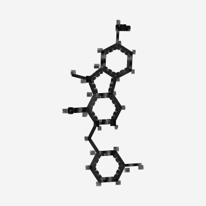 CSc1ccc2c3cnn(Cc4cccc(C)c4)c(=O)c3n(C)c2c1